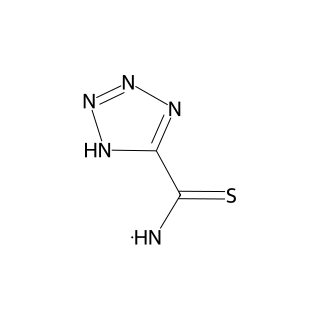 [NH]C(=S)c1nnn[nH]1